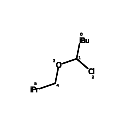 CCC(C)C(Cl)OCC(C)C